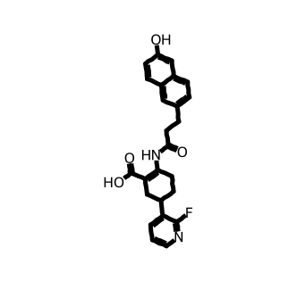 O=C(CCc1ccc2cc(O)ccc2c1)NC1=C(C(=O)O)CC(c2cccnc2F)CC1